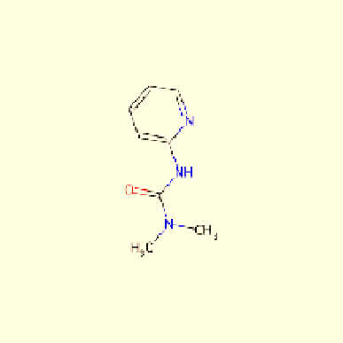 CN(C)C(=O)Nc1ccccn1